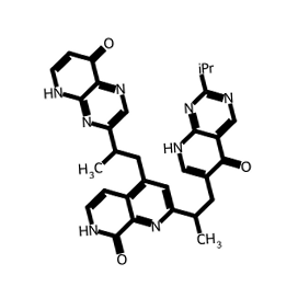 CC(C)c1ncc2c(=O)c(CC(C)c3cc(CC(C)c4cnc5c(=O)cc[nH]c5n4)c4cc[nH]c(=O)c4n3)c[nH]c2n1